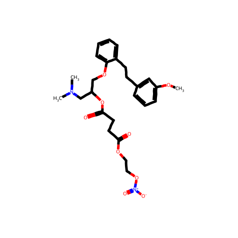 COc1cccc(CCc2ccccc2OCC(CN(C)C)OC(=O)CCC(=O)OCCO[N+](=O)[O-])c1